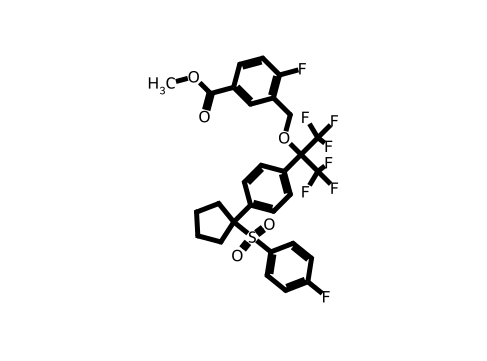 COC(=O)c1ccc(F)c(COC(c2ccc(C3(S(=O)(=O)c4ccc(F)cc4)CCCC3)cc2)(C(F)(F)F)C(F)(F)F)c1